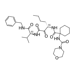 CCCC[C@H](NC(=O)C1(NC(=O)N2CCOCC2)CCCCC1)C(=O)C(=O)N[C@H](C(=O)NCc1ccccc1)C(C)C